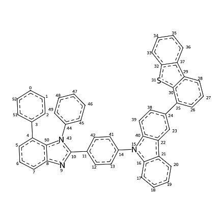 c1ccc(-c2cccc3nc(-c4ccc(-n5c6ccccc6c6cc(-c7cccc8c7sc7ccccc78)ccc65)cc4)n(-c4ccccc4)c23)cc1